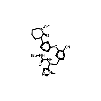 CCCN1CCCCC(c2cccc(Oc3cc(CC(NC(=O)NC(C)(C)C)c4cncn4C)ccc3C#N)c2)C1=O